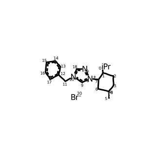 CC(C)C1CC[C@@H](C)CC1[n+]1cn(Cc2ccccc2)cn1.[Br-]